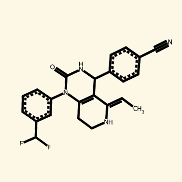 CC=C1NCCC2=C1C(c1ccc(C#N)cc1)NC(=O)N2c1cccc(C(F)F)c1